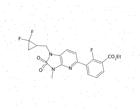 CCOC(=O)c1cccc(-c2ccc3c(n2)N(C)S(=O)(=O)N3CC2CC2(F)F)c1F